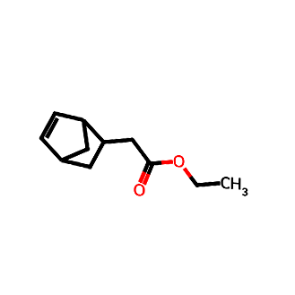 CCOC(=O)CC1CC2C=CC1C2